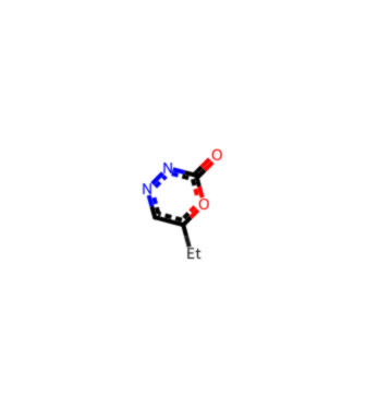 CCc1cnnc(=O)o1